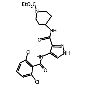 CCOC(=O)N1CCC(NC(=O)c2n[nH]cc2NC(=O)c2c(Cl)cccc2Cl)CC1